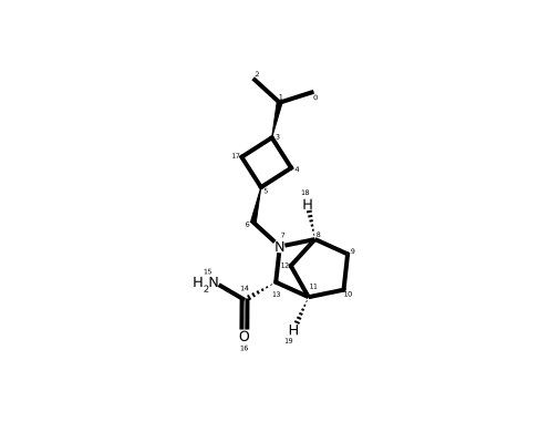 CC(C)[C@H]1C[C@@H](CN2[C@H]3CC[C@H](C3)[C@@H]2C(N)=O)C1